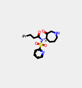 CC(C)C[CH]C(=O)N([C@H]1CCCNCC1=O)S(=O)(=O)c1ccccn1